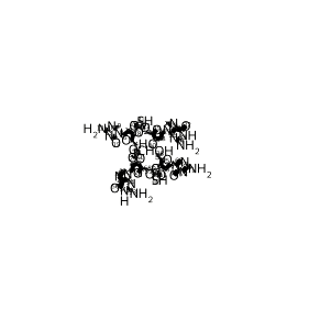 CP(=O)(OC[C@H]1O[C@@H](n2cnc(N)nc2=O)CC1OP(=O)(S)OC[C@H]1O[C@@H](n2cnc3c(=O)[nH]c(N)nc32)CC1O)OC1C[C@H](n2cnc3c(=O)[nH]c(N)nc32)O[C@@H]1COP(=O)(S)OC1C[C@H](n2cnc(N)nc2=O)O[C@@H]1CO